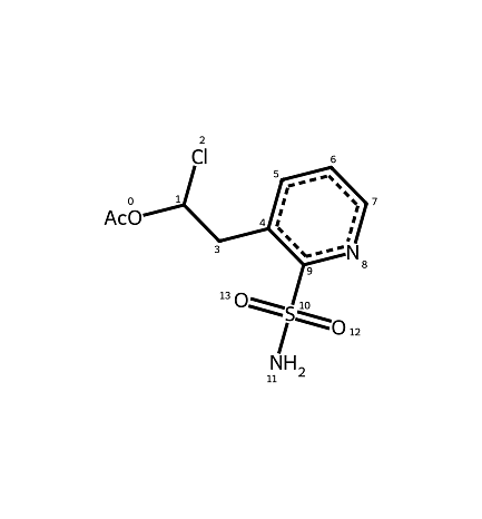 CC(=O)OC(Cl)Cc1cccnc1S(N)(=O)=O